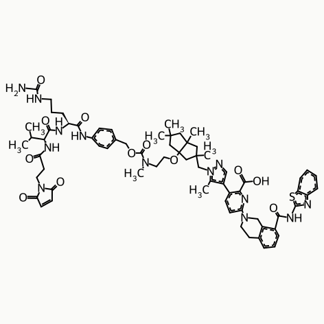 Cc1c(-c2ccc(N3CCc4cccc(C(=O)Nc5nc6ccccc6s5)c4C3)nc2C(=O)O)cnn1CC1(C)CC2(C)CC(C)(C)CC2(OCCN(C)C(=O)OCc2ccc(NC(=O)[C@H](CCCNC(N)=O)NC(=O)[C@@H](NC(=O)CCN3C(=O)C=CC3=O)C(C)C)cc2)C1